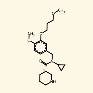 COCCCOc1cc(CN(C(=O)[C@H]2CCCNC2)C2CC2)ccc1OC